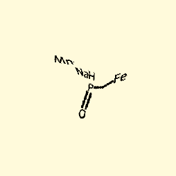 O=[P][Fe].[Mn].[NaH]